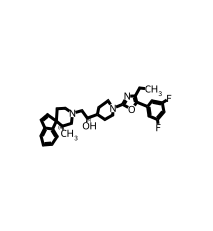 CCc1nc(N2CCC([C@H](O)CN3CCC4(C=Cc5ccccc54)[C@@H](C)C3)CC2)oc1-c1cc(F)cc(F)c1